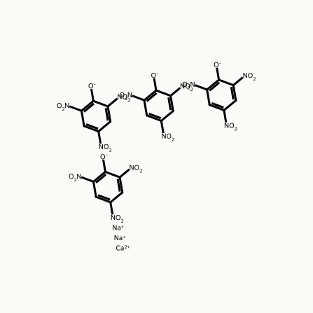 O=[N+]([O-])c1cc([N+](=O)[O-])c([O-])c([N+](=O)[O-])c1.O=[N+]([O-])c1cc([N+](=O)[O-])c([O-])c([N+](=O)[O-])c1.O=[N+]([O-])c1cc([N+](=O)[O-])c([O-])c([N+](=O)[O-])c1.O=[N+]([O-])c1cc([N+](=O)[O-])c([O-])c([N+](=O)[O-])c1.[Ca+2].[Na+].[Na+]